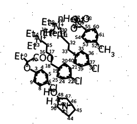 CCC(Oc1ccc(Cl)cc1)C(=O)[O-].CCCCCCC[N+](CC)(CC)CCCCc1ccc(Cl)cc1.CCCCCCC[N+](CC)(CC)CCCCc1ccc(Cl)cc1.CN1C2CCC1CC(O)C2.Cc1ccc(S(=O)(=O)[O-])cc1